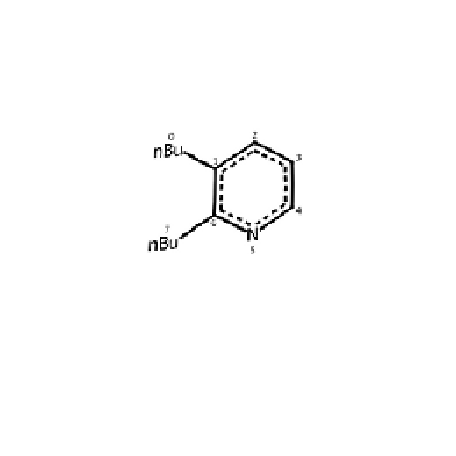 CCCCc1cccnc1CCCC